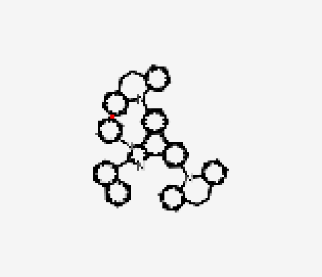 c1ccc(-n2c(-c3cccc4ccccc34)nc3c4cc(N5c6ccccc6CCc6ccccc65)ccc4c4ccc(N5c6ccccc6CCc6ccccc65)cc4c32)cc1